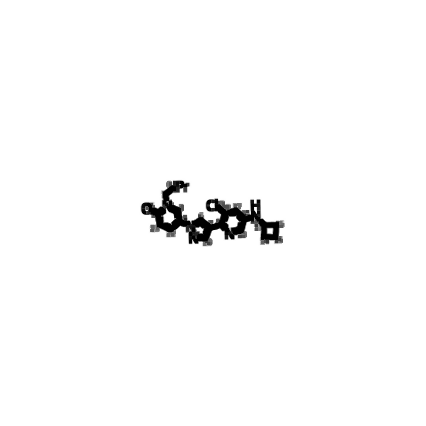 CC(C)Cn1cc(-n2cc(-c3ncc(NC4CCC4)cc3Cl)cn2)ccc1=O